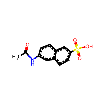 CC(=O)Nc1ccc2cc(S(=O)(=O)O)[c][c]c2c1